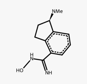 CN[C@@H]1CCc2c(C(=N)NO)cccc21